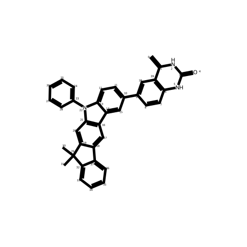 C=C1NC(=O)Nc2ccc(-c3ccc4c(c3)c3cc5c(cc3n4-c3ccccc3)C(C)(C)c3ccccc3-5)cc21